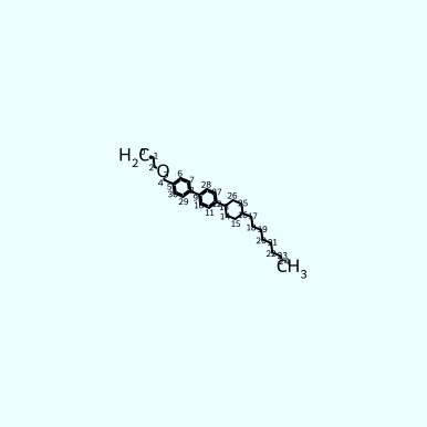 C=CCOCc1ccc(-c2ccc(C3CCC(CCCCCCCC)CC3)cc2)cc1